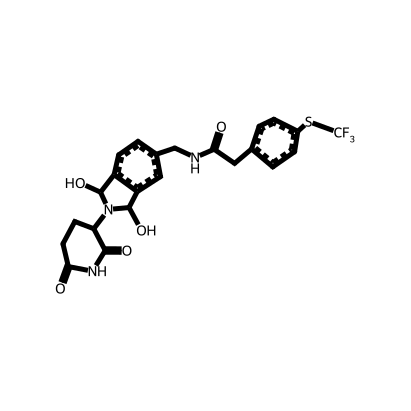 O=C(Cc1ccc(SC(F)(F)F)cc1)NCc1ccc2c(c1)C(O)N(C1CCC(=O)NC1=O)C2O